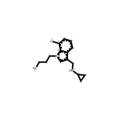 SCCCn1cc(CNC2CC2)c2cccc(Cl)c21